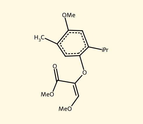 CO/C=C(/Oc1cc(C)c(OC)cc1C(C)C)C(=O)OC